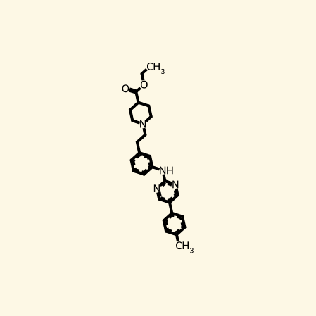 CCOC(=O)C1CCN(CCc2cccc(Nc3ncc(-c4ccc(C)cc4)cn3)c2)CC1